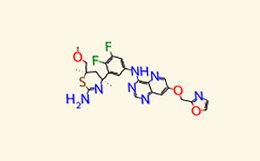 COC[C@@]1(C)C[C@@](C)(c2cc(Nc3ncnc4cc(OCc5ncco5)cnc34)cc(F)c2F)N=C(N)S1